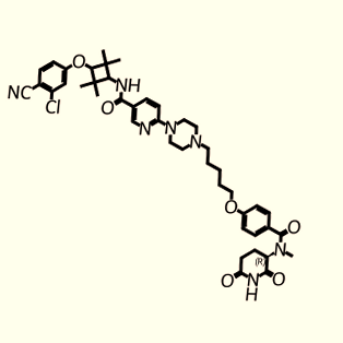 CN(C(=O)c1ccc(OCCCCCN2CCN(c3ccc(C(=O)NC4C(C)(C)C(Oc5ccc(C#N)c(Cl)c5)C4(C)C)cn3)CC2)cc1)[C@@H]1CCC(=O)NC1=O